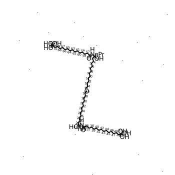 CCCC(O)(CCCCCCCCCCCCCOCCCCCCCCCCCCCC(O)(CCC)NC(=O)CCCCCCCCCCCCCCC(O)(O)O)NC(=O)CCCCCCCCCCCCCCC(O)(O)O